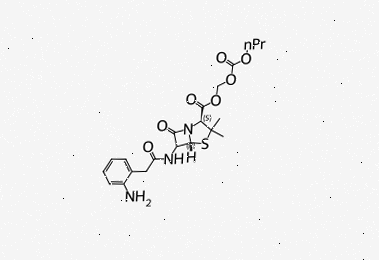 CCCOC(=O)OCOC(=O)[C@@H]1N2C(=O)C(NC(=O)Cc3ccccc3N)[C@H]2SC1(C)C